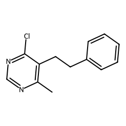 Cc1ncnc(Cl)c1CCc1ccccc1